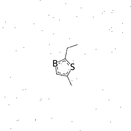 CCc1bcc(C)s1